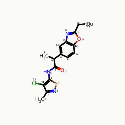 Cc1nsc(NC(=O)C(C)c2ccc3oc(CC(C)(C)C)nc3c2)c1Cl